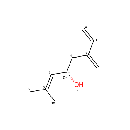 C=CC(=C)C[C@H](O)C=C(C)C